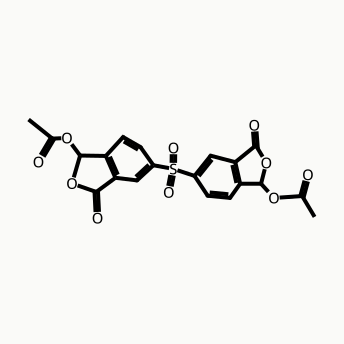 CC(=O)OC1OC(=O)c2cc(S(=O)(=O)c3ccc4c(c3)C(=O)OC4OC(C)=O)ccc21